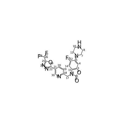 O=c1oc2cc(N3CCNCC3)c(F)cc2n1Cc1ccc(-c2nnc(C(F)F)o2)cn1